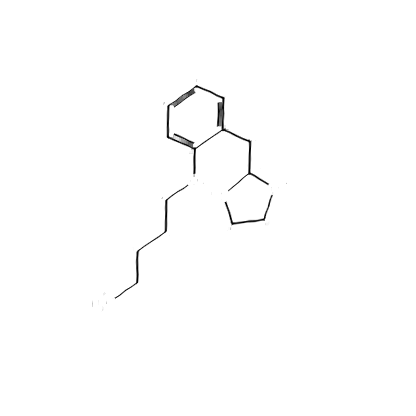 CCCCCOc1ccccc1[CH]C1OCCS1